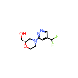 OC[C@@H]1CN(c2cc(C(F)F)cnn2)CCO1